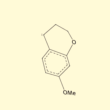 COc1ccc2c(c1)OCC[C]2